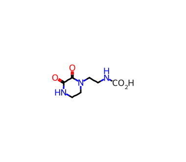 O=C(O)NCCN1CCNC(=O)C1=O